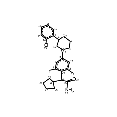 Cc1cc(N2CCSC(c3ccccc3Cl)C2)cc(C)c1C(C(N)=O)C1CCCC1